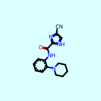 N#Cc1c[nH]c(C(=O)Nc2ccccc2N2CCCCC2)n1